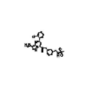 Bc1cnn2c(NCc3cccc(CNS(C)(=O)=O)c3)cc(-c3ccccc3Cl)nc12